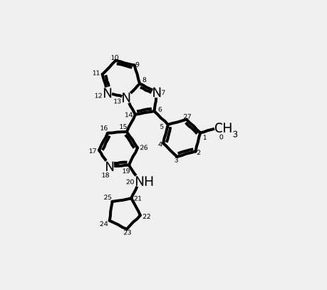 Cc1cccc(-c2nc3cccnn3c2-c2ccnc(NC3CCCC3)c2)c1